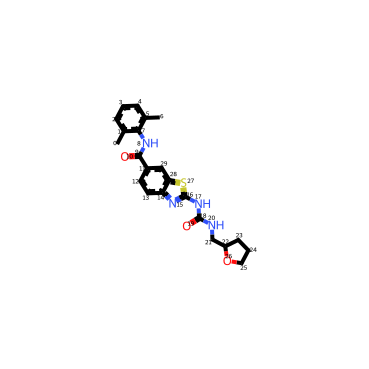 Cc1cccc(C)c1NC(=O)c1ccc2nc(NC(=O)NCC3CCCO3)sc2c1